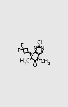 CC1C(=O)N(C)c2cnc(Cl)nc2N1C1CC(F)(F)C1